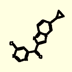 O=C(c1cc(Cl)ncn1)c1cn2cc(C3CC3)ccc2n1